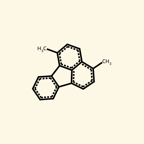 Cc1ccc2c(C)ccc3c2c1-c1ccccc1-3